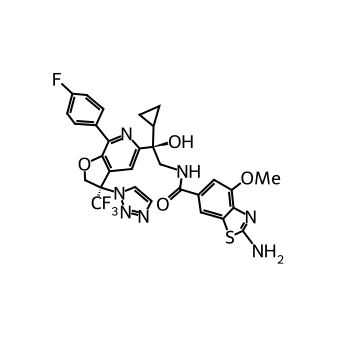 COc1cc(C(=O)NC[C@](O)(c2cc3c(c(-c4ccc(F)cc4)n2)OC[C@@]3(n2ccnn2)C(F)(F)F)C2CC2)cc2sc(N)nc12